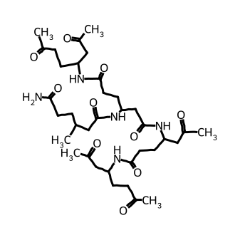 CC(=O)CCC(CC(C)=O)NC(=O)CCC(CC(C)=O)NC(=O)CC(CCC(=O)NC(CCC(C)=O)CC(C)=O)NC(=O)CC(C)CCC(N)=O